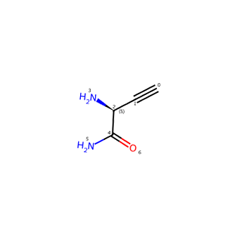 C#C[C@H](N)C(N)=O